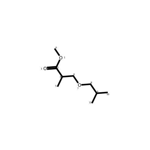 COC(=O)C(C)COCC(C)C